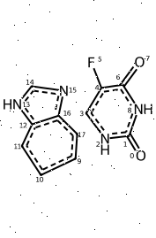 O=c1[nH]cc(F)c(=O)[nH]1.c1ccc2[nH]cnc2c1